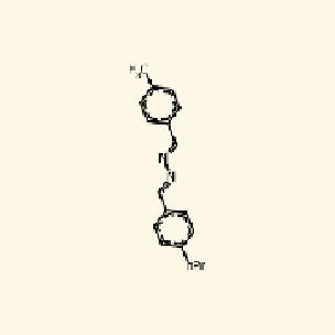 CCCc1ccc(C=NN=Cc2ccc(C(F)(F)F)cc2)cc1